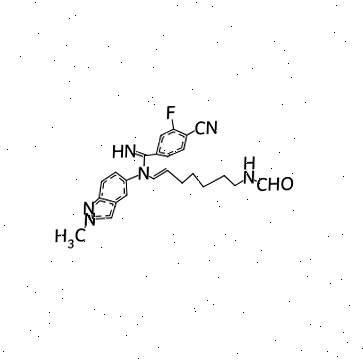 Cn1cc2cc(N(/C=C/CCCCCNC=O)C(=N)c3ccc(C#N)c(F)c3)ccc2n1